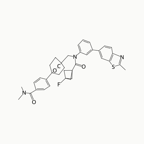 Cc1nc2ccc(-c3cccc(N(CC45CCC(c6ccc(C(=O)N(C)C)cc6)(CC4)OC5)C(=O)C45CC(F)(C4)C5)c3)cc2s1